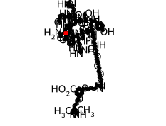 Cc1n[nH]c(C)c1CCCOc1cc(OCCCc2cn(CCOCCOCCOCCC(=O)NCCCCC(NC(=O)C(Cc3ccc(O)cc3)NC(=O)C(CO)NC(=O)C(Cc3c[nH]c4ccccc34)NC(=O)C(Cc3c[nH]cn3)NC(=O)C3CCC(=O)N3)C(=O)NC(CC(C)C)C(=O)NC(CCCNC(=N)N)C(=O)N3CCCC3C(=O)NCC(N)=O)nn2)cc(C(=O)O)c1